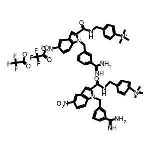 C[N+](C)(C)c1ccc(CNC(=O)c2cc3cc([N+](=O)[O-])ccc3n2Cc2cccc(C(=N)N)c2)cc1.C[N+](C)(C)c1ccc(CNC(=O)c2cc3cc([N+](=O)[O-])ccc3n2Cc2cccc(C(=N)N)c2)cc1.O=C([O-])C(F)(F)F.O=C([O-])C(F)(F)F